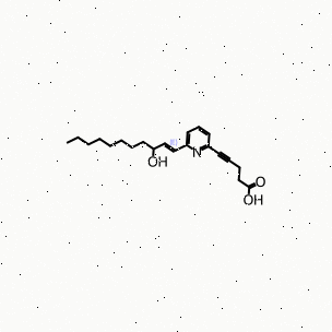 CCCCCCCCC(O)/C=C/c1cccc(C#CCCC(=O)O)n1